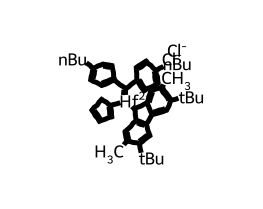 CCCCc1ccc([C](c2ccc(CCCC)cc2)=[Hf+2]([C]2=CC=CC2)[CH]2c3cc(C)c(C(C)(C)C)cc3-c3cc(C(C)(C)C)c(C)cc32)cc1.[Cl-].[Cl-]